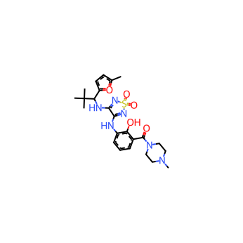 Cc1ccc(C(NC2=NS(=O)(=O)N=C2Nc2cccc(C(=O)N3CCN(C)CC3)c2O)C(C)(C)C)o1